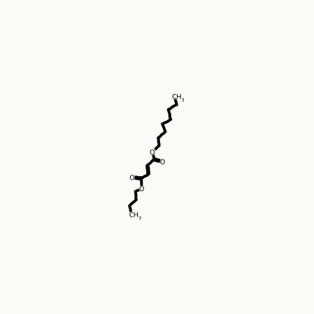 CCCCCCCCOC(=O)C=CC(=O)OCCCC